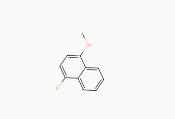 CBc1ccc(F)c2ccccc12